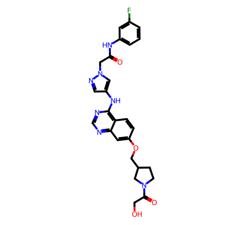 O=C(Cn1cc(Nc2ncnc3cc(OCC4CCN(C(=O)CO)C4)ccc23)cn1)Nc1cccc(F)c1